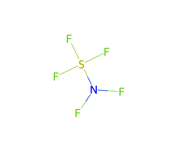 FN(F)S(F)(F)F